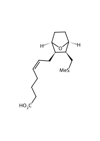 CSC[C@H]1[C@@H](C/C=C\CCCC(=O)O)[C@H]2CC[C@@H]1O2